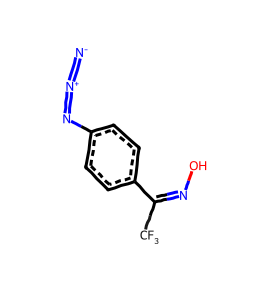 [N-]=[N+]=Nc1ccc(/C(=N\O)C(F)(F)F)cc1